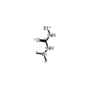 CCNC(=O)NB(C)C